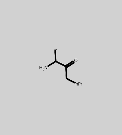 [CH2]C(N)C(=O)CCCC